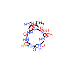 CC(=O)C[C@@H]1NC(=O)[C@H](Cc2cnc[nH]2)NC(=O)CNC(=O)[C@H](CS)NC(=O)CNC(=O)CNC(=O)[C@H](CO)N(O)C1=O